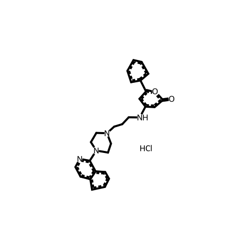 Cl.O=c1cc(NCCCN2CCN(c3nccc4ccccc34)CC2)cc(-c2ccccc2)o1